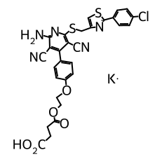 N#Cc1c(N)nc(SCc2csc(-c3ccc(Cl)cc3)n2)c(C#N)c1-c1ccc(OCCOC(=O)CCC(=O)O)cc1.[K]